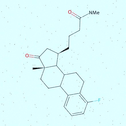 CNC(=O)CCC[C@@H]1CC(=O)[C@@]2(C)CCC3c4cccc(F)c4CCC3C12